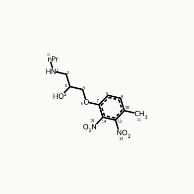 CCCNCC(O)COc1ccc(C)c([N+](=O)[O-])c1[N+](=O)[O-]